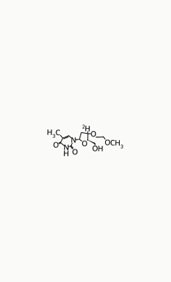 [2H][C@]1(OCCOC)C[C@H](n2cc(C)c(=O)[nH]c2=O)O[C@@H]1CO